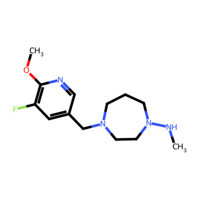 CNN1CCCN(Cc2cnc(OC)c(F)c2)CC1